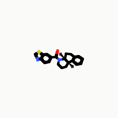 O=C(c1ccc2ncsc2c1)N1CCC[C@@H]2c3ccccc3CC[C@@H]21